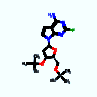 CC(C)(C)[Si](C)(C)OC[C@H]1O[C@@H](n2ccc3c(N)nc(F)nc32)C[C@@H]1O[Si](C)(C)C(C)(C)C